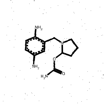 NC(=O)OC1CCCN1Cc1cc(N)ccc1N